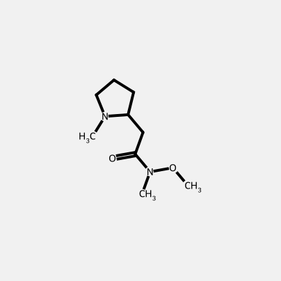 CON(C)C(=O)CC1CCCN1C